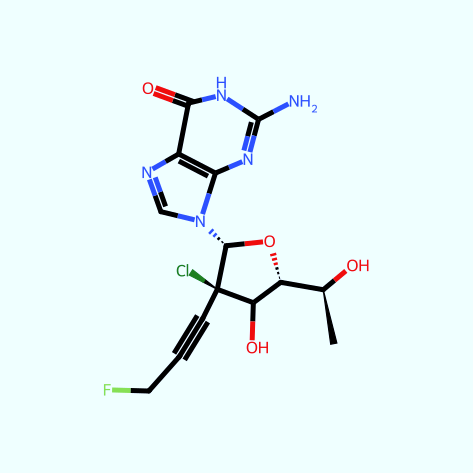 C[C@H](O)[C@H]1O[C@@H](n2cnc3c(=O)[nH]c(N)nc32)[C@@](Cl)(C#CCF)C1O